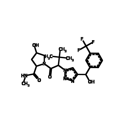 CNC(=O)C1CC(O)CN1C(=O)C(n1cc(C(O)c2cccc(C(F)(F)F)c2)nn1)C(C)(C)C